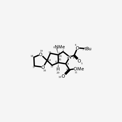 CN[C@]12CN(C(=O)OC(C)(C)C)C(C(=O)OC)[C@H]1CC1(C2)OCCO1